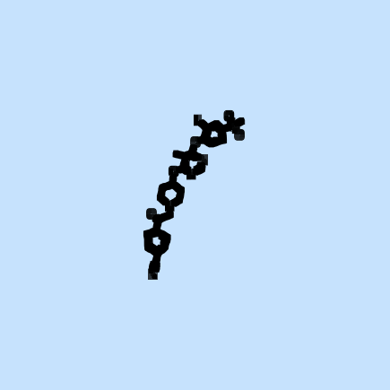 Cc1c(Oc2ccc(S(C)(=O)=O)cc2F)ncnc1OC1CCN(CC(=O)c2ccc(C#N)cc2)CC1